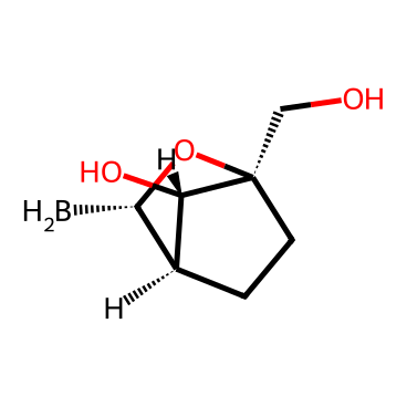 B[C@@H]1O[C@@]2(CO)CC[C@@H]1[C@@H]2O